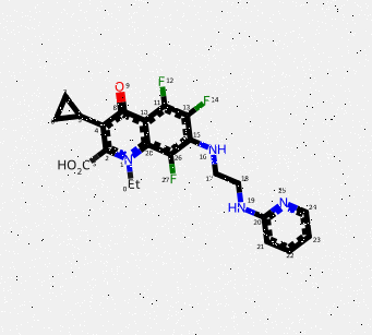 CCn1c(C(=O)O)c(C2CC2)c(=O)c2c(F)c(F)c(NCCNc3ccccn3)c(F)c21